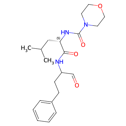 CC(C)C[C@H](NC(=O)N1CCOCC1)C(=O)NC(C=O)CCc1ccccc1